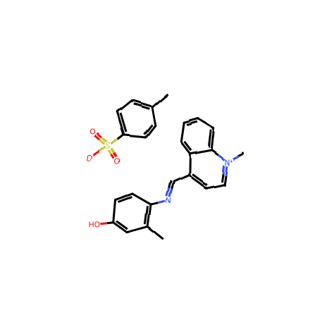 Cc1cc(O)ccc1N=Cc1cc[n+](C)c2ccccc12.Cc1ccc(S(=O)(=O)[O-])cc1